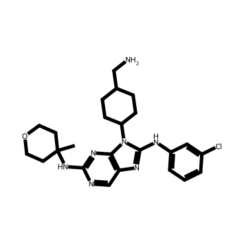 CC1(Nc2ncc3nc(Nc4cccc(Cl)c4)n(C4CCC(CN)CC4)c3n2)CCOCC1